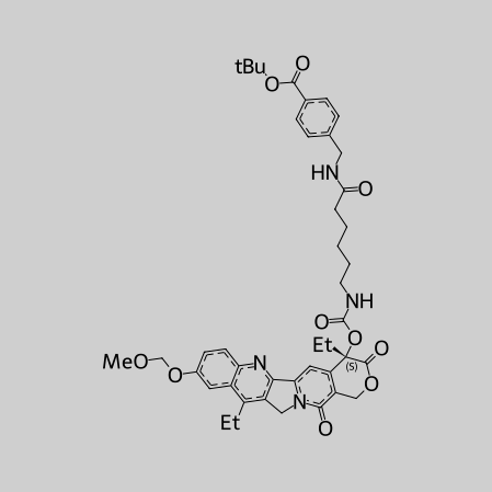 CCc1c2c(nc3ccc(OCOC)cc13)-c1cc3c(c(=O)n1C2)COC(=O)[C@@]3(CC)OC(=O)NCCCCCC(=O)NCc1ccc(C(=O)OC(C)(C)C)cc1